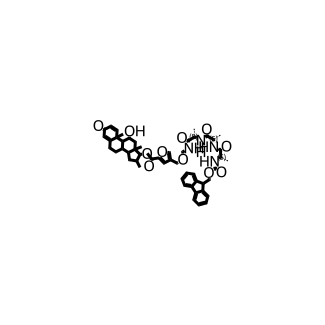 CC1CC2C3CCC4=CC(=O)C=CC4(C)C3C(O)CC2(C)C1OC(=O)c1cc(COCNC(=O)[C@H](C)NC(=O)[C@H](C)NC(=O)[C@H](C)NC(=O)OCC2c3ccccc3-c3ccccc32)co1